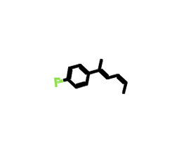 C/C=C\C=C(/C)c1ccc(F)cc1